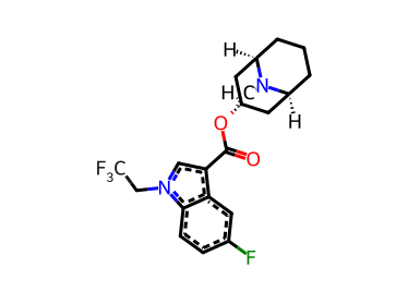 CN1[C@@H]2CCC[C@H]1C[C@H](OC(=O)c1cn(CC(F)(F)F)c3ccc(F)cc13)C2